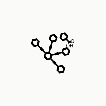 C(#Cc1ccc(C#Cc2ccccc2)c(C#Cc2ccccc2)c1C#Cc1ccccc1)c1ccccc1.O=C(O)c1ccccc1